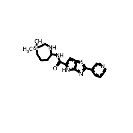 C[Si]1(C)CCCC(NC(=O)c2cc3sc(-c4cccnc4)nc3[nH]2)NC1